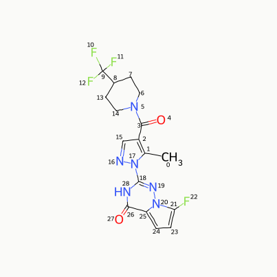 Cc1c(C(=O)N2CCC(C(F)(F)F)CC2)cnn1-c1nn2c(F)ccc2c(=O)[nH]1